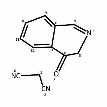 N#CCC#N.O=C1CN=Cc2ccccc21